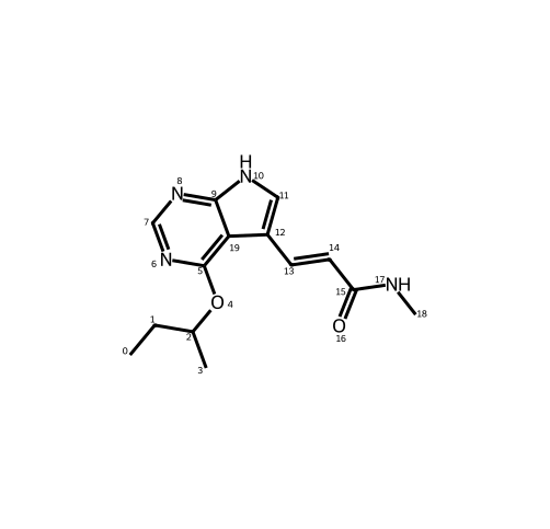 CCC(C)Oc1ncnc2[nH]cc(C=CC(=O)NC)c12